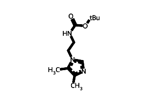 Cc1ncn(CCNC(=O)OC(C)(C)C)c1C